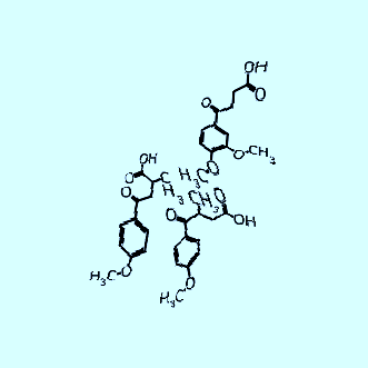 COc1ccc(C(=O)C(C)CC(=O)O)cc1.COc1ccc(C(=O)CC(C)C(=O)O)cc1.COc1ccc(C(=O)CCC(=O)O)cc1OC